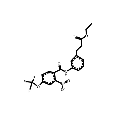 CCOC(=O)CCc1cccc(NC(=O)c2ccc(OC(F)(F)F)cc2[N+](=O)[O-])c1